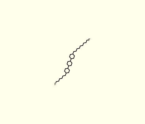 FCCCCCCCCCC1CCC(C2CCC(C3CCC(CCCCCCF)CC3)CC2)CC1